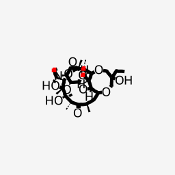 CC[C@H]1OC(=O)[C@H](C)[C@H]2OCC(O)(CC)CO[C@@](C)(C[C@@H](C)C(=O)[C@H](C)[C@@H](O)[C@]1(C)O)[C@H](O[C@@H]1O[C@H](C)C[C@H](N(C)C)[C@H]1OC)[C@H]2C